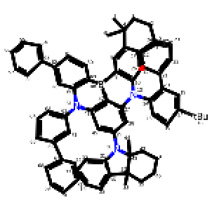 CC(C)C1CCC(C)(C)c2cc3c(cc21)N(c1ccc(C(C)(C)C)cc1-c1ccccc1)c1cc(N2c4ccccc4C4(C)CCCCC24C)cc2c1B3c1ccc(-c3ccccc3)cc1N2c1cccc(-c2ccccc2)c1